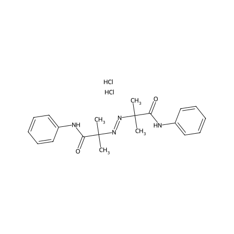 CC(C)(N=NC(C)(C)C(=O)Nc1ccccc1)C(=O)Nc1ccccc1.Cl.Cl